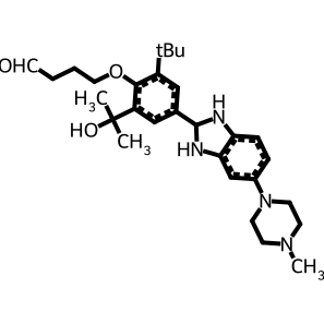 CN1CCN(c2ccc3c(c2)NC(c2cc(C(C)(C)C)c(OCCCC=O)c(C(C)(C)O)c2)N3)CC1